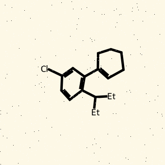 CCC(CC)c1ccc(Cl)cc1C1=CCCCC1